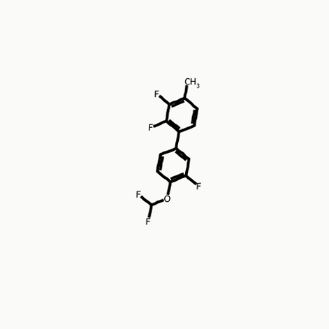 Cc1ccc(-c2ccc(OC(F)F)c(F)c2)c(F)c1F